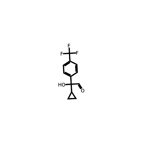 O=CC(O)(c1ccc(C(F)(F)F)cc1)C1CC1